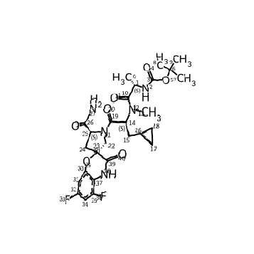 C[C@H](NC(=O)OC(C)(C)C)C(=O)N(C)[C@@H](CC1CC1)C(=O)N1C[C@@]2(C[C@H]1C(N)=O)Oc1cc(F)cc(F)c1NC2=O